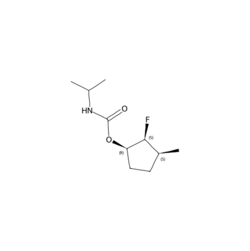 CC(C)NC(=O)O[C@@H]1CC[C@H](C)[C@@H]1F